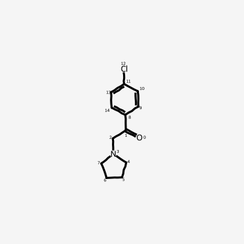 O=C(CN1CCCC1)c1ccc(Cl)cc1